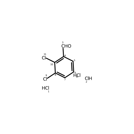 Cl.Cl.Cl.O=Cc1cccc(Cl)c1Cl